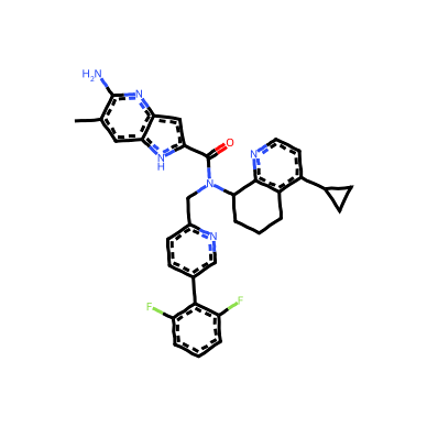 Cc1cc2[nH]c(C(=O)N(Cc3ccc(-c4c(F)cccc4F)cn3)C3CCCc4c(C5CC5)ccnc43)cc2nc1N